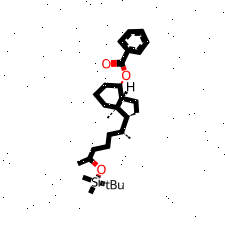 CC(CCC[C@@H](C)[C@H]1CC[C@H]2[C@@H](OC(=O)c3ccccc3)CCC[C@]12C)O[Si](C)(C)C(C)(C)C